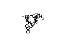 CC(C)[C@H]1CCCC[C@@H](O)[C@@H]2CC[C@H]2CN2C[C@@]3(CCCc4cc(Cl)ccc43)COc3ccc(cc32)C(=O)NS1(=O)=O